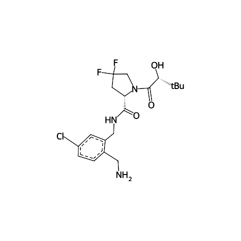 CC(C)(C)[C@@H](O)C(=O)N1CC(F)(F)C[C@H]1C(=O)NCc1cc(Cl)ccc1CN